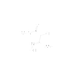 CNC(=O)C(C)C(=NO)SC